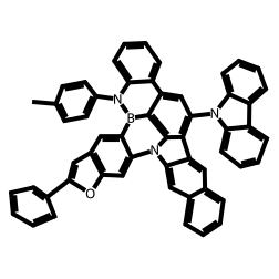 Cc1ccc(N2B3c4cc5cc(-c6ccccc6)oc5cc4-n4c5cc6ccccc6cc5c5c(-n6c7ccccc7c7ccccc76)cc(c3c54)-c3ccccc32)cc1